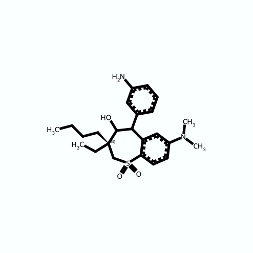 CCCC[C@]1(CC)CS(=O)(=O)c2ccc(N(C)C)cc2C(c2cccc(N)c2)C1O